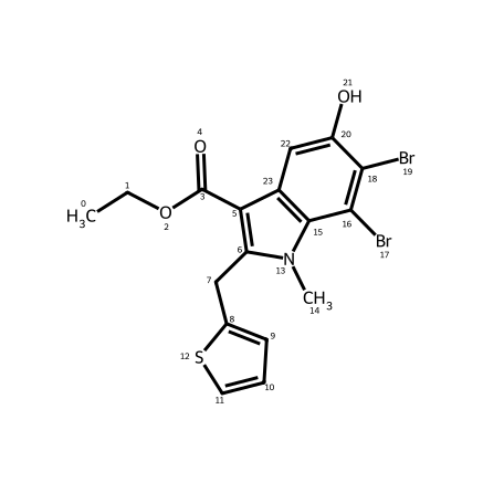 CCOC(=O)c1c(Cc2cccs2)n(C)c2c(Br)c(Br)c(O)cc12